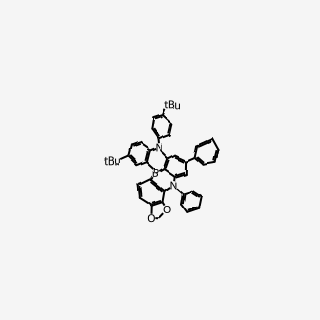 CC(C)(C)c1ccc(N2c3ccc(C(C)(C)C)cc3B3c4ccc5c(c4N(c4ccccc4)c4cc(-c6ccccc6)cc2c43)OCO5)cc1